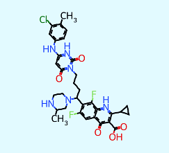 Cc1ccc(Nc2cc(=O)n(CCCC(c3c(F)cc4c(=O)c(C(=O)O)c(C5CC5)[nH]c4c3F)N3CCNC(C)C3)c(=O)[nH]2)cc1Cl